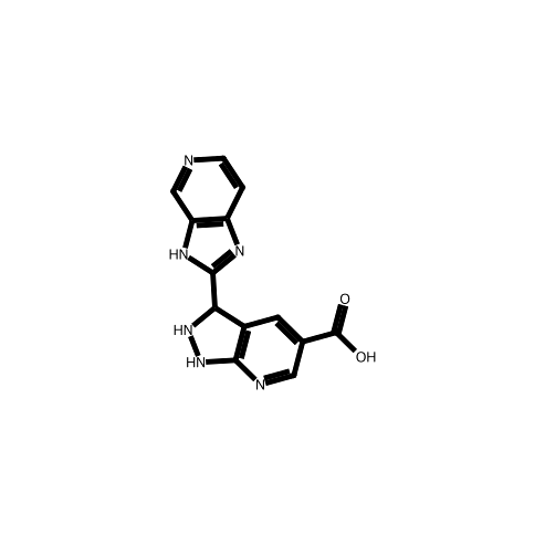 O=C(O)c1cnc2c(c1)C(c1nc3ccncc3[nH]1)NN2